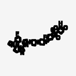 O=C1CCC(N2C(=O)c3cc(F)c(CN4CCC(N5CCN(c6cccc(-c7cnc8ccc(N9CCC[C@@H]9c9cccc(F)c9)nn78)n6)CC5)CC4)cc3C2=O)C(=O)N1